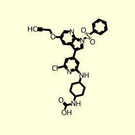 C#CCOc1cnc2c(c1)c(-c1cc(Cl)nc(NC3CCC(NC(=O)O)CC3)c1)cn2S(=O)(=O)c1ccccc1